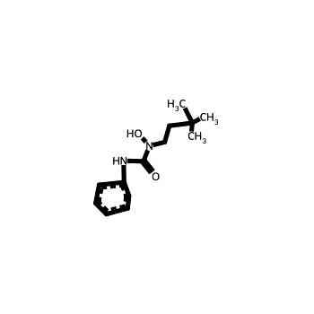 CC(C)(C)CCN(O)C(=O)Nc1ccccc1